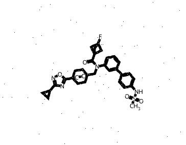 CS(=O)(=O)Nc1ccc(-c2cccc(N(CC34CCC(c5nc(C6CC6)no5)(CC3)CC4)C(=O)C34CC(F)(C3)C4)c2)cc1